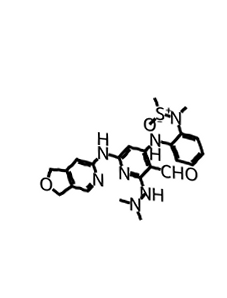 CN(C)Nc1nc(Nc2cc3c(cn2)COC3)cc(Nc2ccccc2N(C)[S+](C)[O-])c1C=O